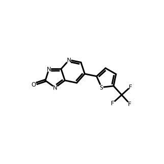 O=C1N=c2cc(-c3ccc(C(F)(F)F)s3)cnc2=N1